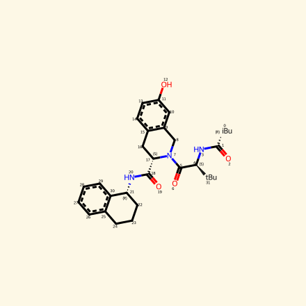 CC[C@@H](C)C(=O)N[C@H](C(=O)N1Cc2cc(O)ccc2C[C@H]1C(=O)N[C@@H]1CCCc2ccccc21)C(C)(C)C